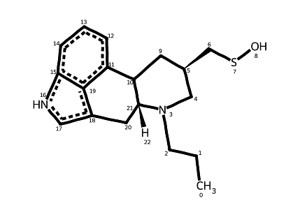 CCCN1C[C@H](CSO)CC2c3cccc4[nH]cc(c34)C[C@H]21